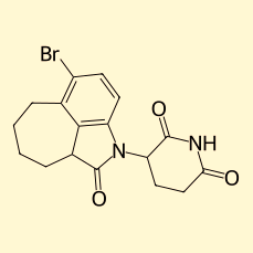 O=C1CCC(N2C(=O)C3CCCCc4c(Br)ccc2c43)C(=O)N1